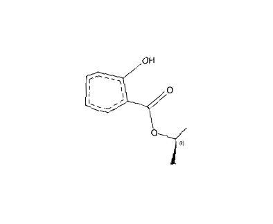 [CH2][C@H](C)OC(=O)c1ccccc1O